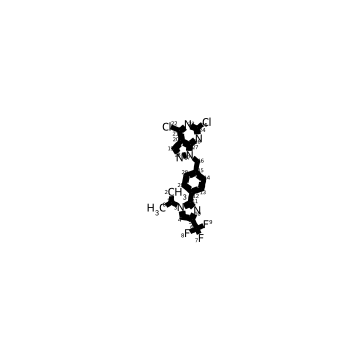 CC(C)n1cc(C(F)(F)F)nc1-c1ccc(Cn2ncc3c(Cl)nc(Cl)nc32)cc1